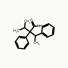 CC(C)C(C(N)=O)(c1ccccc1)C(C)c1ccccc1